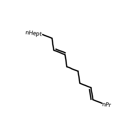 [CH2]CCCCCCCC=CCCCC=CCCC